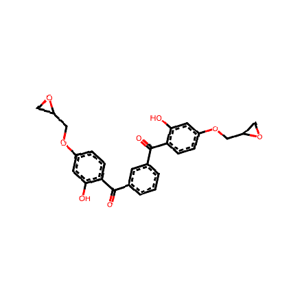 O=C(c1cccc(C(=O)c2ccc(OCC3CO3)cc2O)c1)c1ccc(OCC2CO2)cc1O